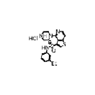 CCc1cccc(NS(=O)(=O)c2csc3ccnc(N4CCNCC4)c23)c1.Cl